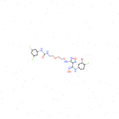 O=C(NCCOCCONc1nonc1/C(=N/O)Nc1ccc(F)c(Br)c1)Nc1cc(F)cc(F)c1